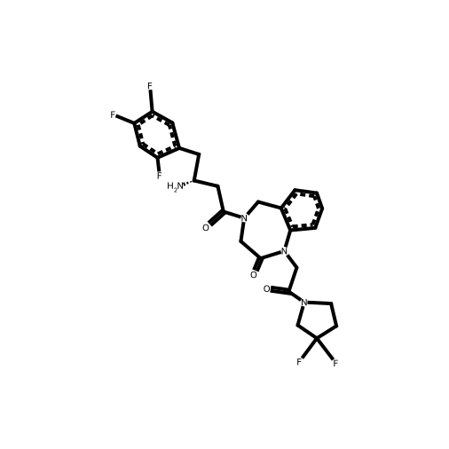 N[C@@H](CC(=O)N1CC(=O)N(CC(=O)N2CCC(F)(F)C2)c2ccccc2C1)Cc1cc(F)c(F)cc1F